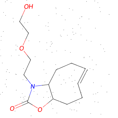 O=C1OC2CC/C=C/CCC2N1CCOCCO